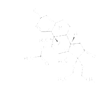 CCSC1(SCC)C(=O)C[C@H]2[C@@H]3CCC4=CC(=O)C=C[C@]4(C)[C@@]3(F)[C@@H](OC(C)=O)C[C@@]21C